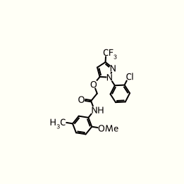 COc1ccc(C)cc1NC(=O)COc1cc(C(F)(F)F)nn1-c1ccccc1Cl